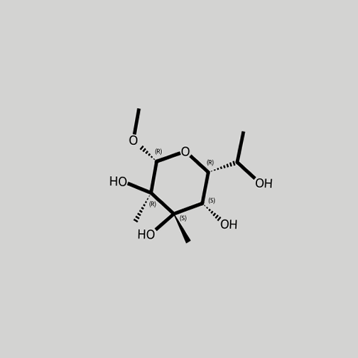 CO[C@@H]1O[C@H](C(C)O)[C@H](O)[C@](C)(O)[C@@]1(C)O